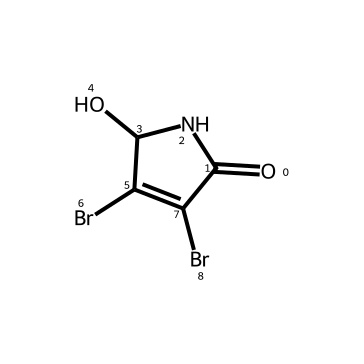 O=C1NC(O)C(Br)=C1Br